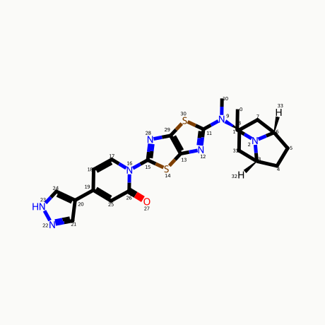 CCN1[C@@H]2CC[C@H]1C[C@H](N(C)c1nc3sc(-n4ccc(-c5cn[nH]c5)cc4=O)nc3s1)C2